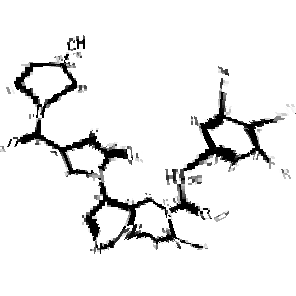 C[C@H]1Cn2ncc(N3CC(C(=O)N4CC[C@@H](O)C4)CC3=O)c2CN1C(=O)Nc1cc(F)c(F)c(F)c1